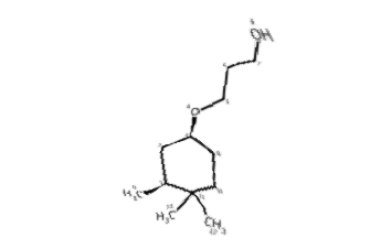 C[C@H]1C[C@@H](OCCCO)CCC1(C)C